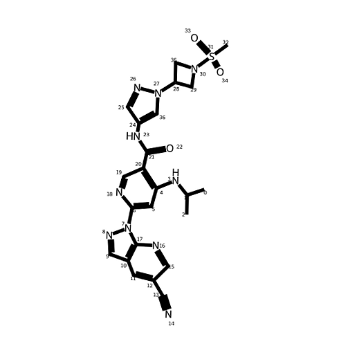 CC(C)Nc1cc(-n2ncc3cc(C#N)cnc32)ncc1C(=O)Nc1cnn(C2CN(S(C)(=O)=O)C2)c1